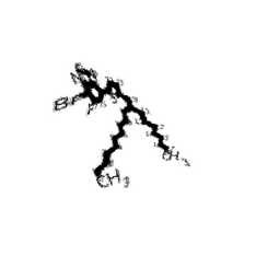 CCCCCCCCCCC(CCCCCCCC)Cc1ccc(-c2cc(F)c(Br)c3nsnc23)s1